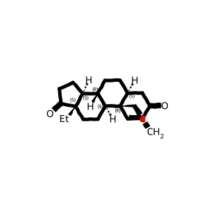 C=C=C[C@]12C=CC(=O)C[C@@H]1CC[C@H]1[C@@H]3CCC(=O)[C@@]3(CC)CC[C@@H]12